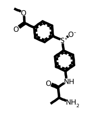 COC(=O)c1ccc([S+]([O-])c2ccc(NC(=O)C(C)N)cc2)cc1